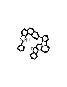 c1ccc(C2Nc3c(ccc4ccc5cc(-c6cccc7c6-c6cc8oc9ccccc9c8c8cccc-7c68)ccc5c34)S2)cc1